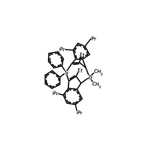 CCC1=C2c3c(C(C)C)cc(C(C)C)cc3[CH]1[Zr]([CH3])([CH3])[CH]1C(CC)=C(c3c(C(C)C)cc(C(C)C)cc31)[Si]2(c1ccccc1)c1ccccc1